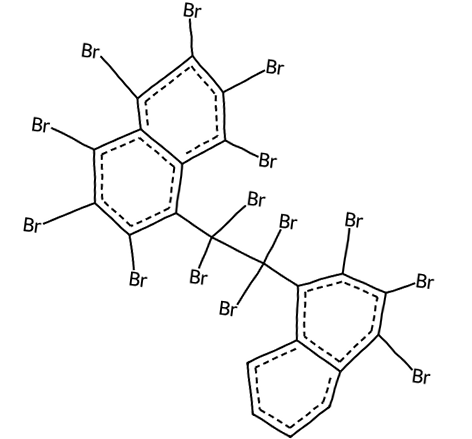 Brc1c(Br)c(C(Br)(Br)C(Br)(Br)c2c(Br)c(Br)c(Br)c3c(Br)c(Br)c(Br)c(Br)c23)c2ccccc2c1Br